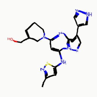 Cc1cc(Nc2cc(N3CCCC(CO)C3)nc3c(-c4cn[nH]c4)cnn23)sn1